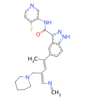 C=N/C=C(\C=C(/C)c1ccc2[nH]nc(C(=O)Nc3cnccc3F)c2c1)CN1CCCCC1